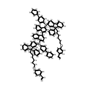 C=Cc1ccc(OCCCCCCC2(c3ccccc3)c3ccccc3-c3ccc(N(c4ccc(-c5ccccc5)cc4)c4ccc(-c5ccc(N(c6ccc(-c7ccccc7)cc6)c6ccc7c(c6)C(CCCCCCOc6ccc(C=C)cc6)(c6ccccc6)c6ccccc6-7)c6ccccc56)c5ccccc45)cc32)cc1